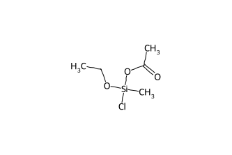 CCO[Si](C)(Cl)OC(C)=O